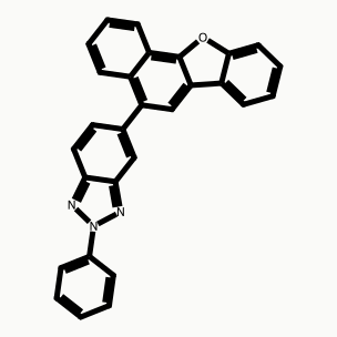 c1ccc(-n2nc3ccc(-c4cc5c6ccccc6oc5c5ccccc45)cc3n2)cc1